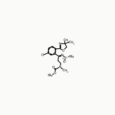 CN(CCC(=N[S@+]([O-])C(C)(C)C)c1cc(Cl)ccc1C1=NC(C)(C)CO1)C(=O)OC(C)(C)C